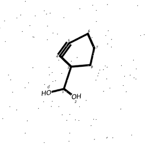 OC(O)C1C#CCCC1